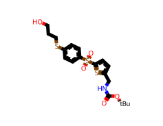 CC(C)(C)OC(=O)NCc1ccc(S(=O)(=O)c2ccc(SCCCO)cc2)s1